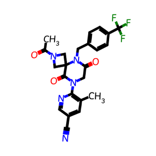 CC(=O)N1CC2(C1)C(=O)N(c1ncc(C#N)cc1C)CC(=O)N2Cc1ccc(C(F)(F)F)cc1